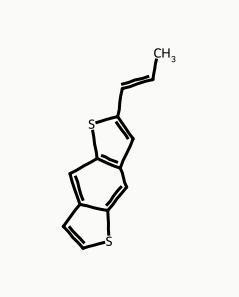 C/C=C/c1cc2cc3sccc3cc2s1